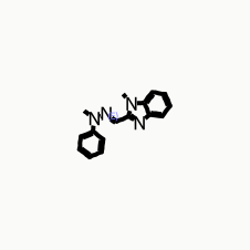 CN(/N=C/c1nc2ccccc2n1C)c1ccccc1